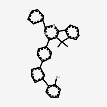 CC1(C)c2ccccc2-c2nc(-c3ccccc3)nc(-c3ccc(-c4cccc(-c5ccccc5S)c4)cc3)c21